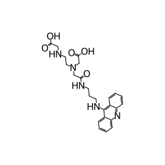 O=C(O)CNCCN(CC(=O)O)CC(=O)NCCCNc1c2ccccc2nc2ccccc12